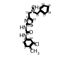 Cc1ccc(NC(=O)Nc2nc(CN(C)Cc3ccccc3)cs2)cc1Cl